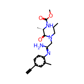 C#Cc1ccc(/N=C(\N)CN(CCC)C(=O)[C@H](C)NC(=O)OC)c(C)c1